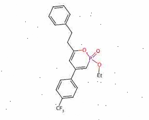 CCOP1(=O)C=C(c2ccc(C(F)(F)F)cc2)C=C(CCc2ccccc2)O1